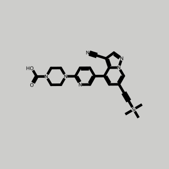 C[Si](C)(C)C#Cc1cc(-c2ccc(N3CCN(C(=O)O)CC3)nc2)c2c(C#N)cnn2c1